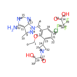 CCOc1c(C(C)n2nc(C)c3c(N)ncnc32)cc(Cl)c(C)c1C1CN(C(=O)C(C)O)C1.O=C(O)C(F)(F)F